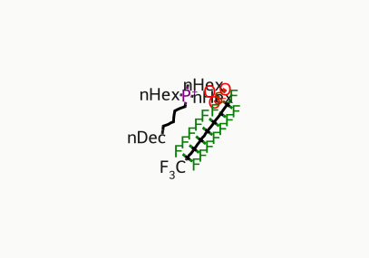 CCCCCCCCCCCCCC[P+](CCCCCC)(CCCCCC)CCCCCC.O=S(=O)([O-])C(F)(F)C(F)(F)C(F)(F)C(F)(F)C(F)(F)C(F)(F)C(F)(F)C(F)(F)F